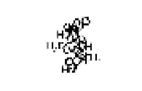 CC(C)CC[C@@]1(NC(=O)[C@]2(O)C=C3c4cccc5[nH]cc(c45)C[C@H]3N(C)C2)O[C@@]2(O)[C@@H]3CCCN3C(=O)[C@H](Cc3ccccc3)N2C1=O